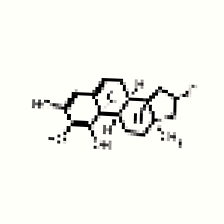 C[C@]12CC[C@H]3[C@@H](CC=C4C=C(O)C(O)=C(O)[C@@]43C)[C@@H]1C[C@@H](F)C2